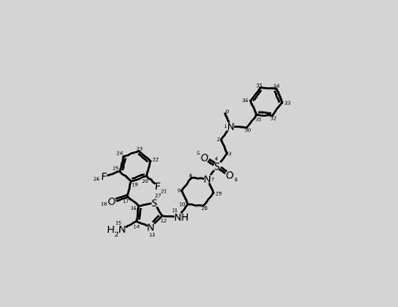 CN(CCS(=O)(=O)N1CCC(Nc2nc(N)c(C(=O)c3c(F)cccc3F)s2)CC1)Cc1ccccc1